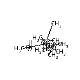 CCCCCCCCCCCCCC[C@@H](OCCCC)[C@@H](OCCCC)[C@H](CO[C@H]1OC(COCCCC)[C@H](OCCCC)[C@H](OCCCC)C1OCCCC)NC(=O)CCCCCCCCCNC(=O)OCCCC